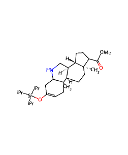 COC(=O)C1CC[C@H]2[C@@H]3CNC4CC(O[Si](C(C)C)(C(C)C)C(C)C)=CC[C@]4(C)[C@@H]3CC[C@]12C